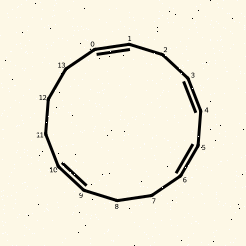 [C]1=CCC=CC=CCCC=CCCC1